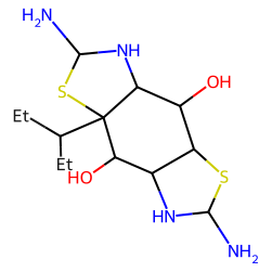 CCC(CC)C12SC(N)NC1C(O)C1SC(N)NC1C2O